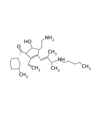 C=CC1=C(/C=C(\C)C(C)NCCCCC)C(CCN)C(O)C1C(=O)[C@H]1CCCC(C)C1